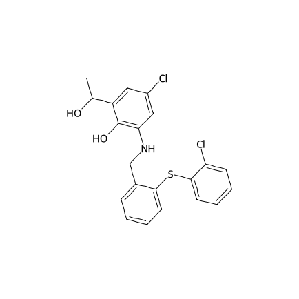 CC(O)c1cc(Cl)cc(NCc2ccccc2Sc2ccccc2Cl)c1O